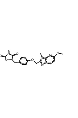 COc1ccc2nc(COc3ccc(CC4SC(=O)NC4=O)cc3)n(C)c2n1